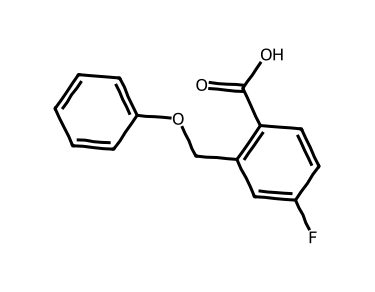 O=C(O)c1ccc(F)cc1COc1ccccc1